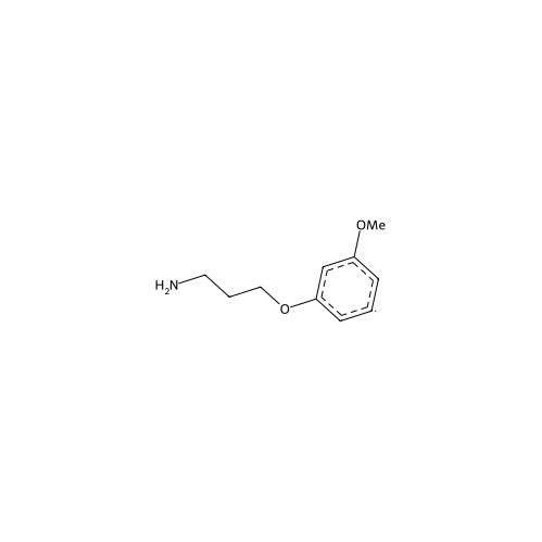 COc1c[c]cc(OCCCN)c1